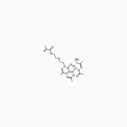 C=C(C)C(=O)OCCOCCO[C@@H]1O[C@H](C(O)C(C)=O)[C@H](OC(C)=O)[C@H](OC(C)=O)[C@H]1OC(C)=O